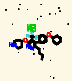 CCCCc1nnc(OC2CCNCC2)c(C(F)(F)F)c1-c1ccc(OC2CCCCC2)cc1.Cl.Cl